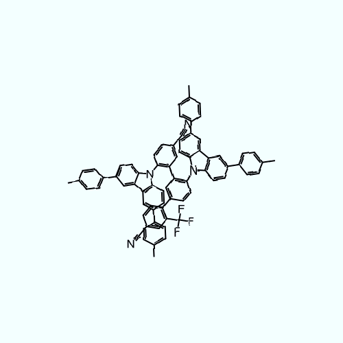 Cc1ccc(-c2ccc3c(c2)c2cc(-c4ccc(C)cc4)ccc2n3-c2ccc(C#N)cc2-c2cc(-c3ccc(C#N)cc3C(F)(F)F)ccc2-n2c3ccc(-c4ccc(C)cc4)cc3c3cc(-c4ccc(C)cc4)ccc32)cc1